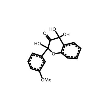 COc1cccc(C2(O)Oc3ccccc3C(O)(O)C2=O)c1